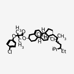 CC[C@H](CC[C@@H](C)[C@H]1CC[C@H]2[C@@H]3CC=C4C[C@@H](OC(=O)C(C)(C)Oc5ccc(Cl)cc5)CC[C@]4(C)[C@H]3CC[C@]12C)C(C)C